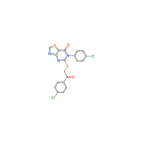 O=C(CSc1nc2ncsc2c(=O)n1-c1ccc(Cl)cc1)c1ccc(Cl)cc1